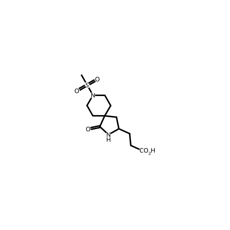 CS(=O)(=O)N1CCC2(CC1)CC(CCC(=O)O)NC2=O